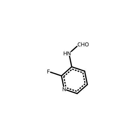 O=CNc1cccnc1F